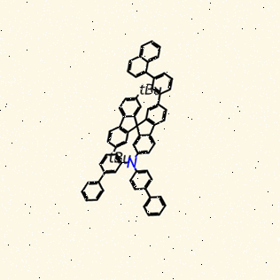 CC(C)(C)c1ccc2c(c1)C1(c3cc(-c4cccc(-c5cccc6ccccc56)c4)ccc3-c3ccc(N(c4ccc(-c5ccccc5)cc4)c4cccc(-c5ccccc5)c4)cc31)c1cc(C(C)(C)C)ccc1-2